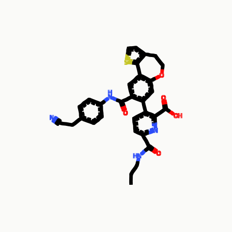 CCCNC(=O)c1ccc(-c2cc3c(cc2C(=O)Nc2ccc(CC#N)cc2)-c2sccc2CCO3)c(C(=O)O)n1